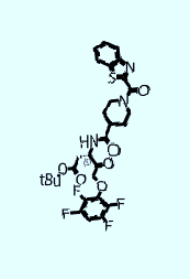 CC(C)(C)OC(=O)C[C@H](NC(=O)C1CCN(C(=O)c2nc3ccccc3s2)CC1)C(=O)COc1c(F)c(F)cc(F)c1F